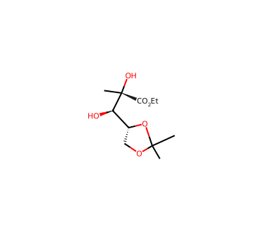 CCOC(=O)[C@@](C)(O)[C@H](O)[C@H]1COC(C)(C)O1